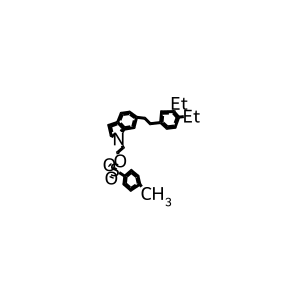 CCc1ccc(CCc2ccc3ccn(CCOS(=O)(=O)c4ccc(C)cc4)c3c2)cc1CC